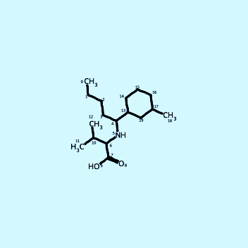 CCCCC(NC(C(=O)O)C(C)C)C1CCCC(C)C1